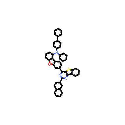 c1ccc(-c2ccc(N(c3ccccc3)c3cccc4oc5cc(-c6nc(-c7ccc8ccccc8c7)nc7c6sc6ccccc67)ccc5c34)cc2)cc1